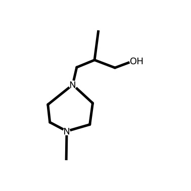 CC(CO)CN1CCN(C)CC1